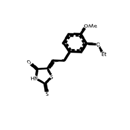 CCOc1cc(CC=C2SC(=S)NC2=O)ccc1OC